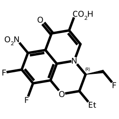 CCC1Oc2c(F)c(F)c([N+](=O)[O-])c3c(=O)c(C(=O)O)cn(c23)[C@H]1CF